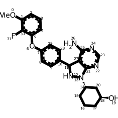 COc1cccc(Oc2ccc(C3NN([C@H]4CCC[C@H](O)C4)c4ncnc(N)c43)cc2)c1F